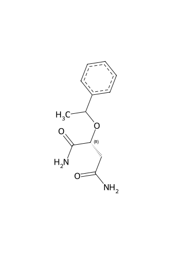 CC(O[C@H](CC(N)=O)C(N)=O)c1ccccc1